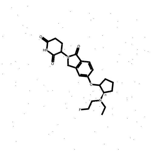 CCN(CCF)[C@@H]1CCCC1Oc1ccc2c(c1)CN(C1CCC(=O)NC1=O)C2=O